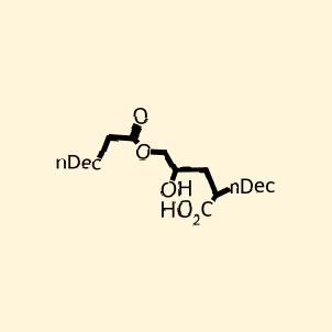 CCCCCCCCCCCC(=O)OCC(O)CC(CCCCCCCCCC)C(=O)O